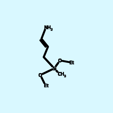 CCO[Si](C)(CC=CN)OCC